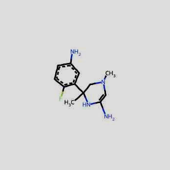 CN1C=C(N)NC(C)(c2cc(N)ccc2F)C1